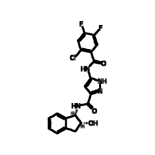 O=C(N[C@H]1c2ccccc2C[C@H]1O)c1cc(NC(=O)c2cc(F)c(F)cc2Cl)[nH]n1